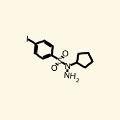 NN(C1CCCC1)S(=O)(=O)c1ccc(I)cc1